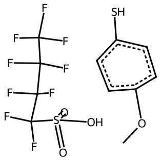 COc1ccc(S)cc1.O=S(=O)(O)C(F)(F)C(F)(F)C(F)(F)C(F)(F)F